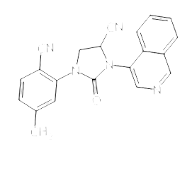 Cc1ccc(C#N)c(N2CC(C#N)N(c3cncc4ccccc34)C2=O)c1